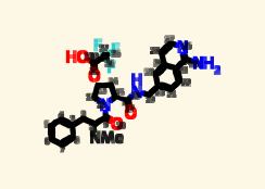 CN[C@H](Cc1ccccc1)C(=O)N1CCC[C@H]1C(=O)NCc1ccc2c(N)nccc2c1.O=C(O)C(F)(F)F